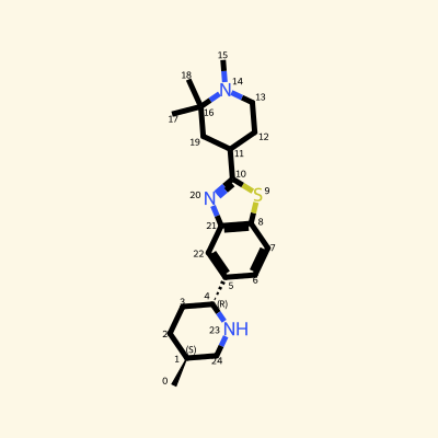 C[C@H]1CC[C@H](c2ccc3sc(C4CCN(C)C(C)(C)C4)nc3c2)NC1